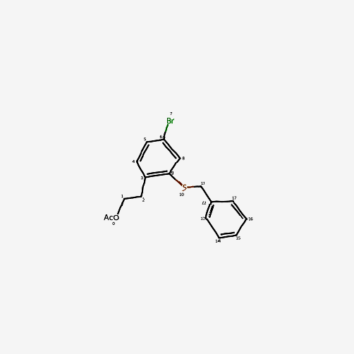 CC(=O)OCCc1ccc(Br)cc1SCc1ccccc1